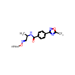 CCCCCCON=CC(C)NC(=O)c1ccc(-c2noc(C(F)(F)F)n2)cc1